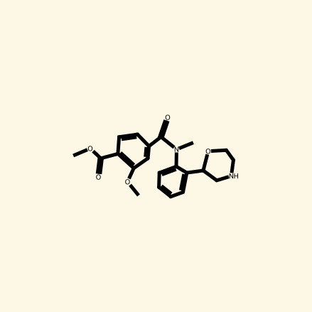 COC(=O)c1ccc(C(=O)N(C)c2ccccc2C2CNCCO2)cc1OC